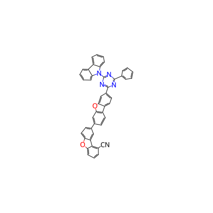 N#Cc1cccc2oc3ccc(-c4ccc5c(c4)oc4cc(-c6nc(-c7ccccc7)nc(-n7c8ccccc8c8ccccc87)n6)ccc45)cc3c12